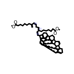 C=C(/C=C\C/C=C(\C=C/C1C2=c3c1c1c4c5c6c7c8c4c3=C(CC2)C8CCC7C2C=CC3C4=c7c(c-5c-1cc7=CCC4)C3C62)CCCCCCC(=O)OC)CCCCCCC(=O)OC